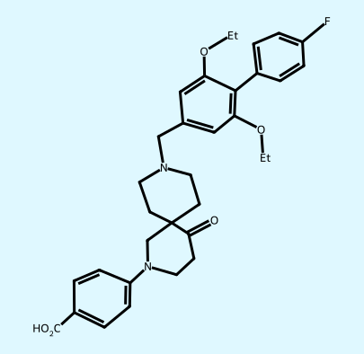 CCOc1cc(CN2CCC3(CC2)CN(c2ccc(C(=O)O)cc2)CCC3=O)cc(OCC)c1-c1ccc(F)cc1